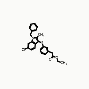 CCOC(=O)Cc1cccc(Sc2c(C)n(Cc3ccccc3)c3cc(Cl)ccc23)c1